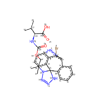 Cc1ccc2[nH]c3c(Br)c2c1C1(NN=NN1C(C)COC(=O)N[C@H](C(=O)O)C(C)C)c1ccccc1-3